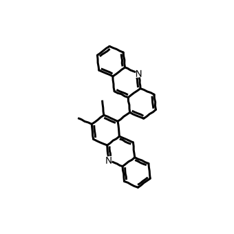 Cc1cc2nc3ccccc3cc2c(-c2cccc3nc4ccccc4cc23)c1C